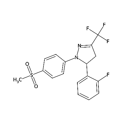 CS(=O)(=O)c1ccc(N2N=C(C(F)(F)F)CC2c2ccccc2F)cc1